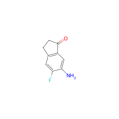 Nc1cc2c(cc1F)CCC2=O